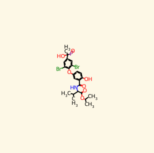 CC(C)OC(=O)C(NC(=O)c1cc(Oc2c(Br)cc(C(C)(O)P=O)cc2Br)ccc1O)C(C)C